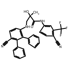 C[C@](O)(CNc1ccc(C#N)c(-c2ccccc2)c1-c1ccccc1)C(=O)Nc1ccc(C#N)c(C(F)(F)F)c1